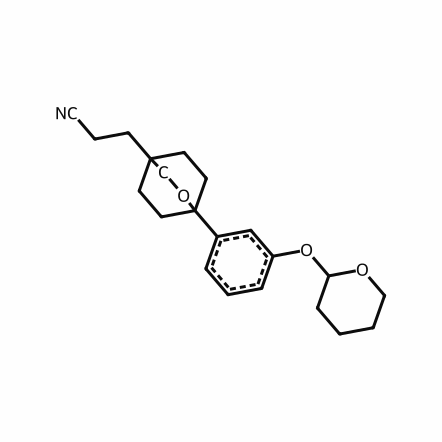 N#CCCC12CCC(c3cccc(OC4CCCCO4)c3)(CC1)OC2